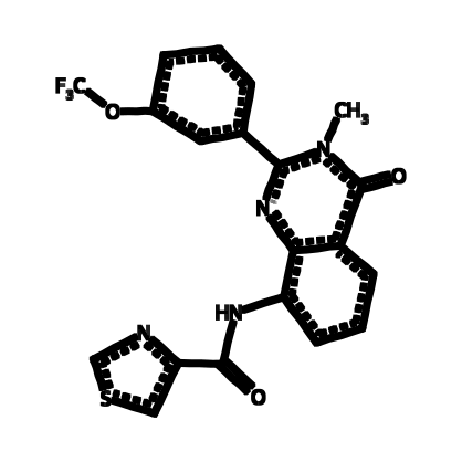 Cn1c(-c2cccc(OC(F)(F)F)c2)nc2c(NC(=O)c3cscn3)cccc2c1=O